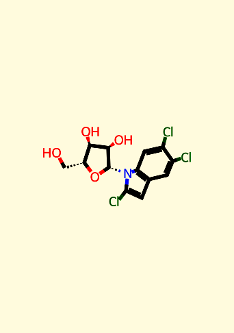 OC[C@H]1O[C@@H](n2c(Cl)cc3cc(Cl)c(Cl)cc32)[C@H](O)[C@@H]1O